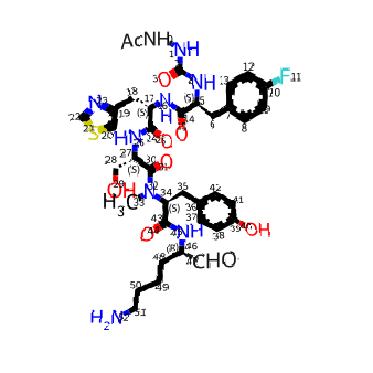 CC(=O)NNC(=O)N[C@@H](Cc1ccc(F)cc1)C(=O)N[C@@H](Cc1cscn1)C(=O)N[C@@H](CO)C(=O)N(C)[C@@H](Cc1ccc(O)cc1)C(=O)N[C@@H]([C]=O)CCCCN